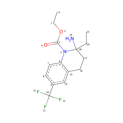 CCOC(=O)N1c2ccc(C(F)(F)F)cc2CCC1(N)CC